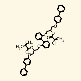 C=C(C)C(=O)OC(COc1ccc(-c2ccccc2)cc1)COc1ccccc1-c1ccccc1OCC(COc1ccc(-c2ccccc2)cc1)OC(=O)C(=C)C